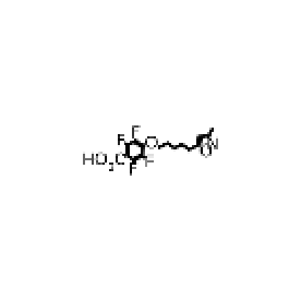 Cc1cc(CCCCCOc2c(F)c(F)c(C(=O)O)c(F)c2F)on1